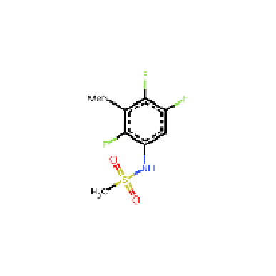 CNc1c(F)c(F)cc(NS(C)(=O)=O)c1F